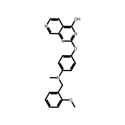 COc1ccccc1CN(C)c1ccc(Oc2nc(O)c3ccncc3n2)cc1